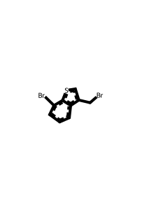 BrCc1csc2c(Br)cccc12